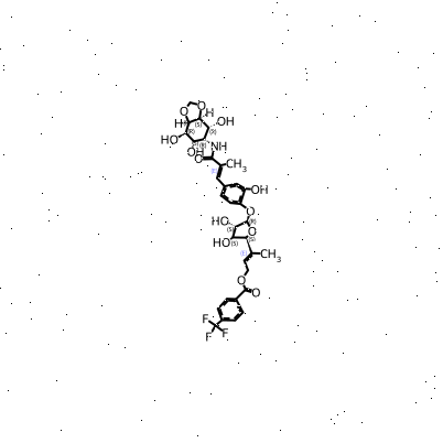 C/C(=C\c1ccc(O[C@H]2O[C@@H](/C(C)=C/COC(=O)c3ccc(C(F)(F)F)cc3)[C@@H](O)[C@@H]2O)c(O)c1)C(=O)N[C@@H]1[C@H](O)[C@@H](O)[C@H]2OCO[C@H]2[C@@H]1O